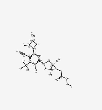 CCOC(=O)CC1[C@H]2CN(c3nc(N4C[C@@H](O)[C@@H]4C)c(C#N)c(C(F)(F)F)c3Cl)C[C@@H]12